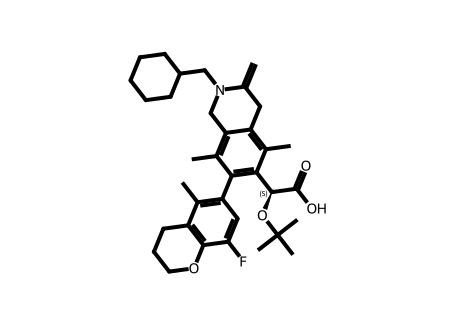 C=C1Cc2c(C)c([C@H](OC(C)(C)C)C(=O)O)c(-c3cc(F)c4c(c3C)CCCO4)c(C)c2CN1CC1CCCCC1